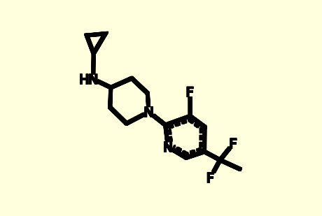 CC(F)(F)c1cnc(N2CCC(NC3CC3)CC2)c(F)c1